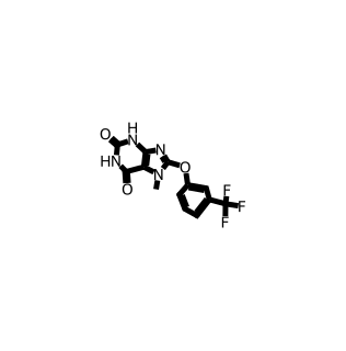 Cn1c(Oc2cccc(C(F)(F)F)c2)nc2[nH]c(=O)[nH]c(=O)c21